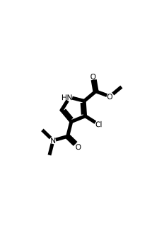 COC(=O)c1[nH]cc(C(=O)N(C)C)c1Cl